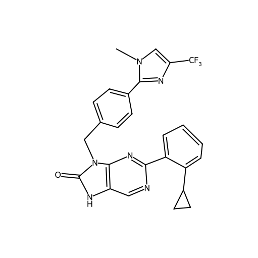 Cn1cc(C(F)(F)F)nc1-c1ccc(Cn2c(=O)[nH]c3cnc(-c4ccccc4C4CC4)nc32)cc1